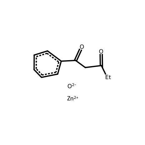 CCC(=O)CC(=O)c1ccccc1.[O-2].[Zn+2]